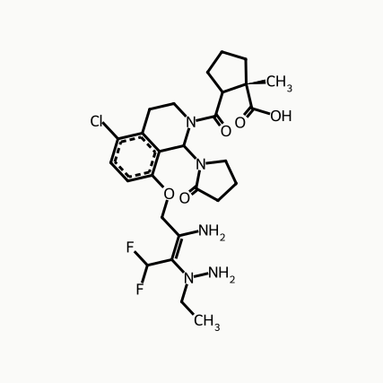 CCN(N)/C(=C(\N)COc1ccc(Cl)c2c1C(N1CCCC1=O)N(C(=O)C1CCC[C@]1(C)C(=O)O)CC2)C(F)F